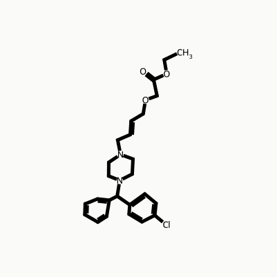 CCOC(=O)COCC=CCN1CCN(C(c2ccccc2)c2ccc(Cl)cc2)CC1